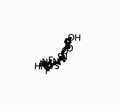 Cc1nc(COCC(=O)N2CCC(O)C2)sc1-c1csc(-c2cc(F)c3[nH]nnc3c2F)n1